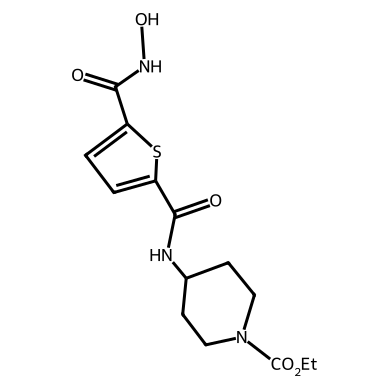 CCOC(=O)N1CCC(NC(=O)c2ccc(C(=O)NO)s2)CC1